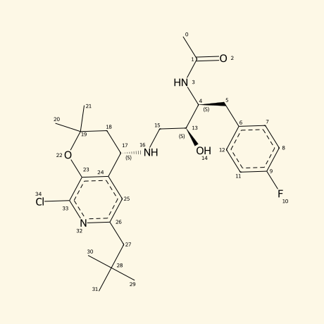 CC(=O)N[C@@H](Cc1ccc(F)cc1)[C@@H](O)CN[C@H]1CC(C)(C)Oc2c1cc(CC(C)(C)C)nc2Cl